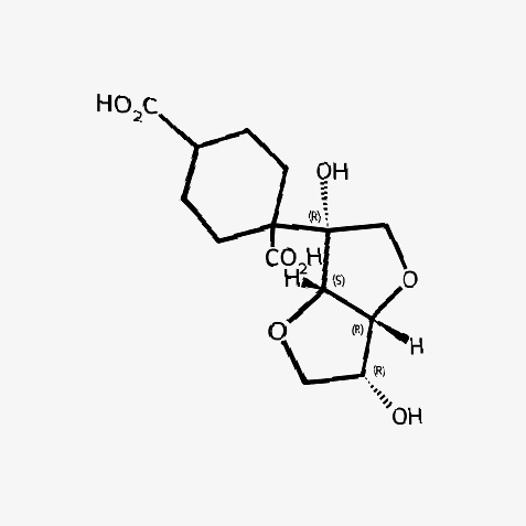 O=C(O)C1CCC(C(=O)O)([C@@]2(O)CO[C@@H]3[C@H](O)CO[C@@H]32)CC1